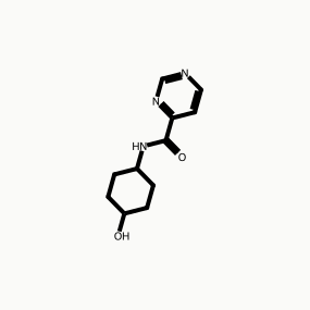 O=C(NC1CCC(O)CC1)c1ccncn1